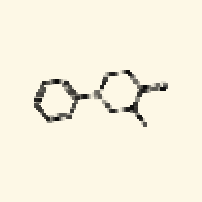 CN1CN(c2ccccc2)CCC1=O